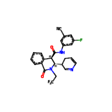 N#Cc1cc(F)cc(NC(=O)[C@@H]2c3ccccc3C(=O)N(CC(F)(F)F)[C@H]2C2C=NC=CC2)c1